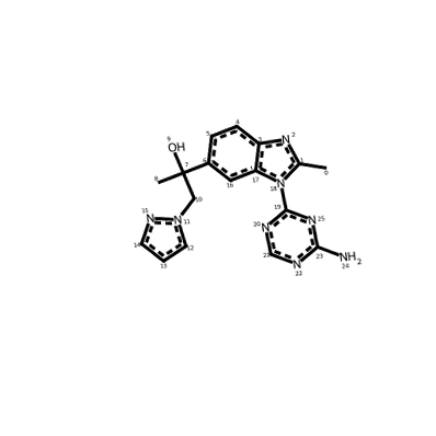 Cc1nc2ccc(C(C)(O)Cn3cccn3)cc2n1-c1ncnc(N)n1